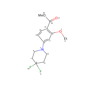 CCOc1cc(N2CCC(F)(F)CC2)ccc1C(=O)OC